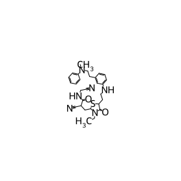 CCN1C(=O)C(CCNc2cccc(CCN(C)c3ccccc3)c2)SC1CC(C#N)C(=O)NCC#N